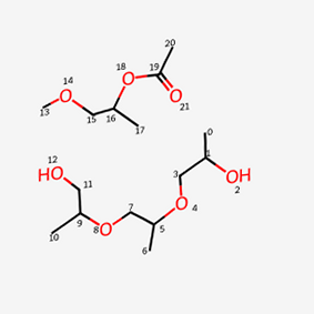 CC(O)COC(C)COC(C)CO.COCC(C)OC(C)=O